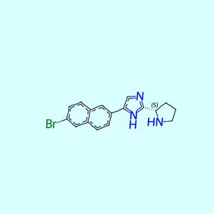 Brc1ccc2cc(-c3cnc([C@@H]4CCCN4)[nH]3)ccc2c1